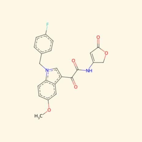 COc1ccc2c(c1)c(C(=O)C(=O)NC1=CC(=O)OC1)cn2Cc1ccc(F)cc1